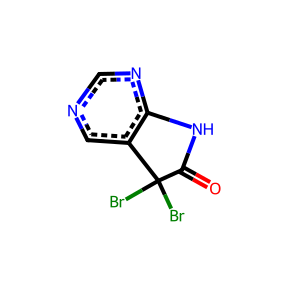 O=C1Nc2ncncc2C1(Br)Br